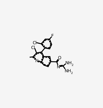 Cc1nc2ccc(C(=O)N=C(N)N)cc2c(-c2ccc(F)cc2Cl)c1Cl